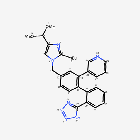 CCCCc1nc(C(OC)OC)cn1Cc1ccc(-c2ccccc2-c2nnn[nH]2)c(-c2cccnc2)c1